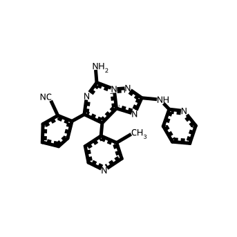 Cc1cnccc1-c1c(-c2ccccc2C#N)nc(N)n2nc(Nc3ccccn3)nc12